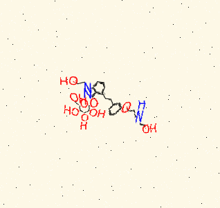 OCCNCCCOc1cccc(CCc2cccc3c2c(O[C@@H]2O[C@H](CO)[C@@H](O)[C@H](O)[C@H]2O)nn3CCO)c1